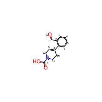 O=Cc1ccccc1C1=CCN(C(=O)O)CC1